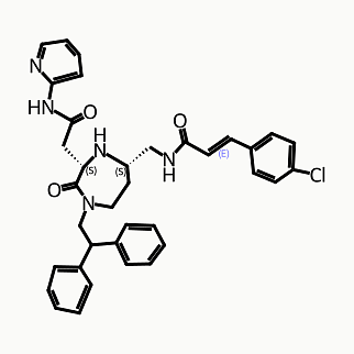 O=C(/C=C/c1ccc(Cl)cc1)NC[C@@H]1CCN(CC(c2ccccc2)c2ccccc2)C(=O)[C@H](CC(=O)Nc2ccccn2)N1